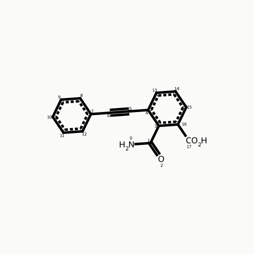 NC(=O)c1c(C#Cc2ccccc2)cccc1C(=O)O